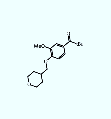 COc1cc(C(=O)C(C)(C)C)ccc1OCC1CCOCC1